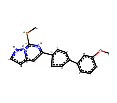 COc1cccc(-c2ccc(-c3cc4ccnn4c(SC)n3)cc2)c1